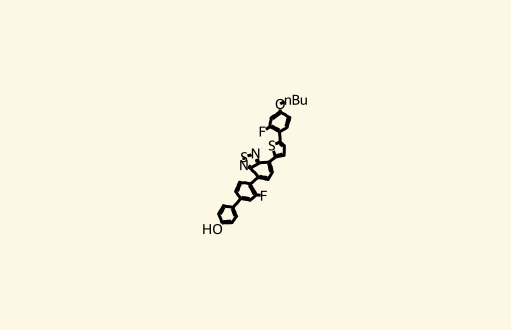 CCCCOc1ccc(-c2ccc(-c3ccc(-c4ccc(-c5ccc(O)cc5)cc4F)c4nsnc34)s2)c(F)c1